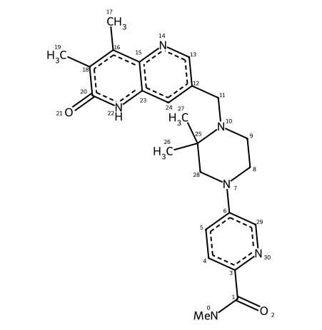 CNC(=O)c1ccc(N2CCN(Cc3cnc4c(C)c(C)c(=O)[nH]c4c3)C(C)(C)C2)cn1